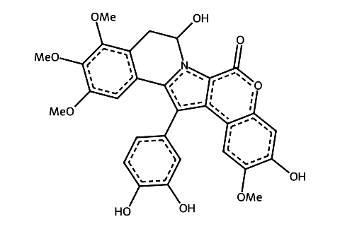 COc1cc2c(cc1O)oc(=O)c1c2c(-c2ccc(O)c(O)c2)c2n1C(O)Cc1c-2cc(OC)c(OC)c1OC